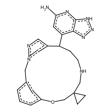 Nc1cc(C2CCNCC3(CC3)COc3cccc(c3)Cn3cc2cn3)c2nn[nH]c2n1